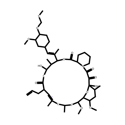 C=CCC1/C=C(\C)CC(C)CC(OC)C2OC(O)(C(=O)C(=O)N3CCCCC3C(=O)OC(C(C)=CC3CCC(OCSC)C(OC)C3)C(C)C(O)CC1=O)C(C)CC2OC